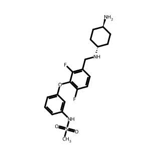 CS(=O)(=O)Nc1cccc(Oc2c(F)ccc(CN[C@H]3CC[C@H](N)CC3)c2F)c1